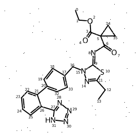 CCOC(=O)C1(C(=O)N=c2sc(CC)nn2Cc2ccc(-c3ccccc3-c3nnn[nH]3)cc2)CC1